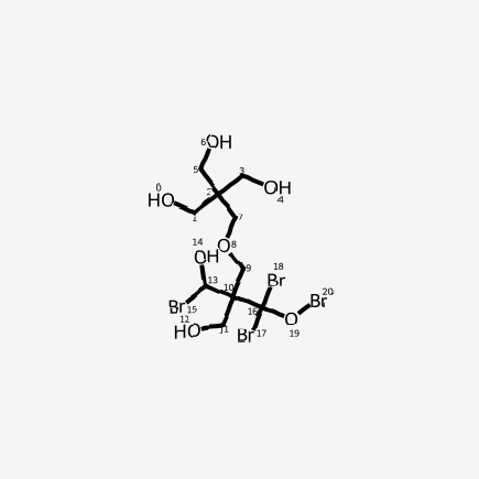 OCC(CO)(CO)COCC(CO)(C(O)Br)C(Br)(Br)OBr